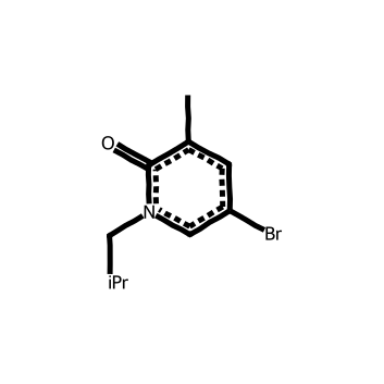 Cc1cc(Br)cn(CC(C)C)c1=O